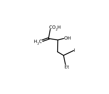 C=C(C(=O)O)C(O)CC(I)CC